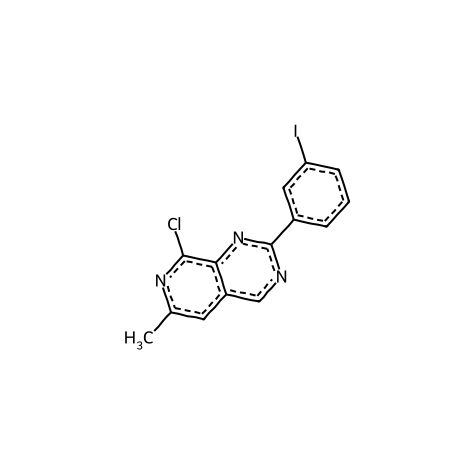 Cc1cc2cnc(-c3cccc(I)c3)nc2c(Cl)n1